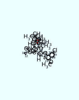 C=C[C@@H]1C[C@@]1(C(=O)NS(=O)(=O)C1CC1)N(C(=O)[C@@H]1C[C@@H](Oc2ncc(OC)c3ccc(Cl)cc23)CN1)C(=O)[C@@H](NC(=O)OC(C)(C)C)C(C)(C)C